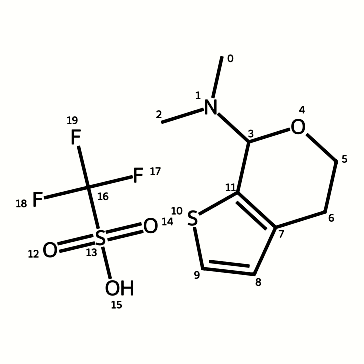 CN(C)C1OCCc2ccsc21.O=S(=O)(O)C(F)(F)F